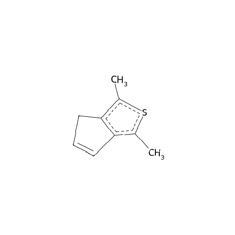 Cc1sc(C)c2c1C=CC2